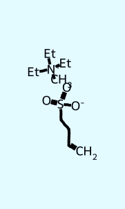 C=CCCS(=O)(=O)[O-].CC[N+](C)(CC)CC